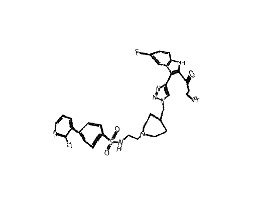 CC(C)CC(=O)c1[nH]c2ccc(F)cc2c1-c1cn(CC2CCN(CCNS(=O)(=O)c3ccc(-c4cccnc4Cl)cc3)CC2)nn1